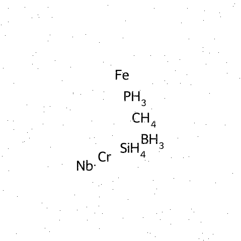 B.C.P.[Cr].[Fe].[Nb].[SiH4]